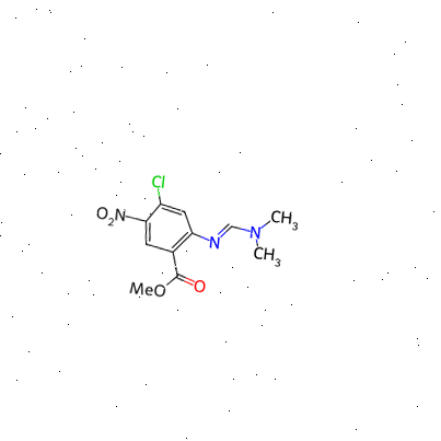 COC(=O)c1cc([N+](=O)[O-])c(Cl)cc1/N=C/N(C)C